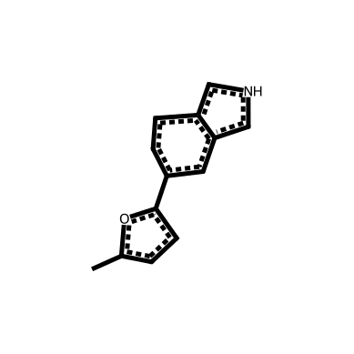 Cc1ccc(-c2ccc3c[nH]cc3c2)o1